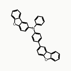 c1ccc(N(c2ccc(-c3ccc4oc5ccccc5c4c3)cc2)c2ccc3oc4ccccc4c3c2)cc1